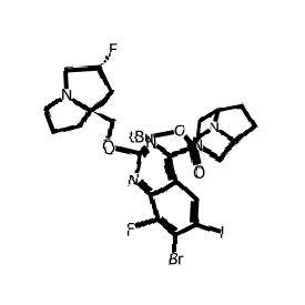 CC(C)(C)OC(=O)N1C2CCC1CN(c1nc(OC[C@@]34CCCN3C[C@H](F)C4)nc3c(F)c(Br)c(I)cc13)C2